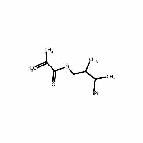 C=C(C)C(=O)OCC(C)C(C)C(C)C